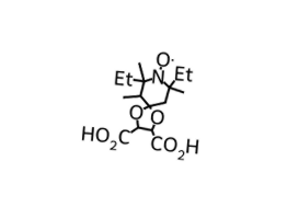 CCC1(C)CC2(OC(C(=O)O)C(C(=O)O)O2)C(C)C(C)(CC)N1[O]